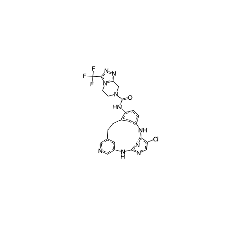 O=C(Nc1ccc2cc1CCc1cncc(c1)Nc1ncc(Cl)c(n1)N2)N1CCn2c(nnc2C(F)(F)F)C1